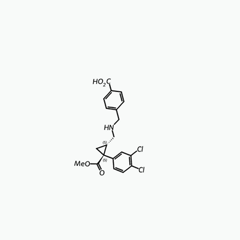 COC(=O)[C@@]1(c2ccc(Cl)c(Cl)c2)C[C@@H]1CNCc1ccc(C(=O)O)cc1